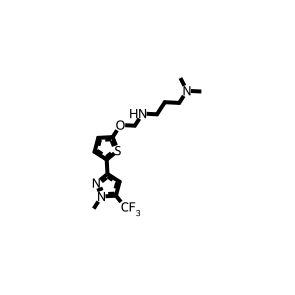 CN(C)CCCNCOc1ccc(-c2cc(C(F)(F)F)n(C)n2)s1